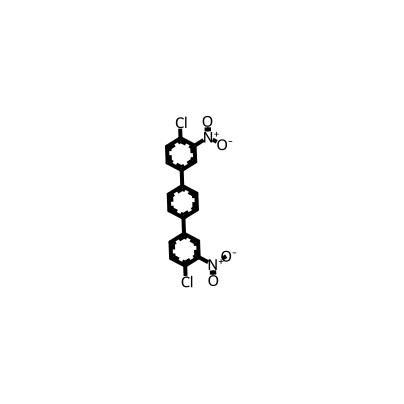 O=[N+]([O-])c1cc(-c2ccc(-c3ccc(Cl)c([N+](=O)[O-])c3)cc2)ccc1Cl